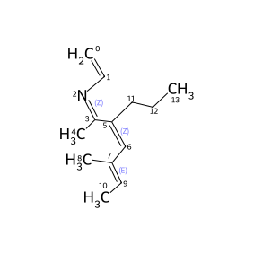 C=C\N=C(C)/C(=C\C(C)=C\C)CCC